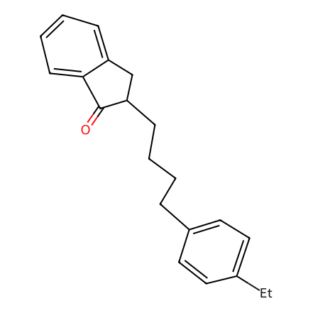 CCc1ccc(CCCCC2Cc3ccccc3C2=O)cc1